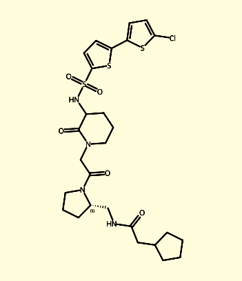 O=C(CC1CCCC1)NC[C@@H]1CCCN1C(=O)CN1CCCC(NS(=O)(=O)c2ccc(-c3ccc(Cl)s3)s2)C1=O